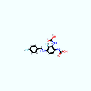 O=C(O)Nc1ccc(NCc2ccc(F)cc2)c(F)c1NC(=O)O